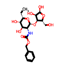 CC[C@@H]1O[C@H](O[C@H]2[C@@H](O)[C@@H](O)O[C@@H]2CO)[C@H](NC(=O)OCc2ccccc2)[C@@H](O)[C@@H]1O